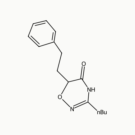 CCCCC1=NOC(CCc2ccccc2)C(=O)N1